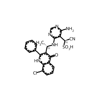 C[C@H](Nc1ncnc(N)c1[C@@H](C#N)S(=O)(=O)O)c1c(-c2ccccc2)[nH]c2c(Cl)cccc2c1=O